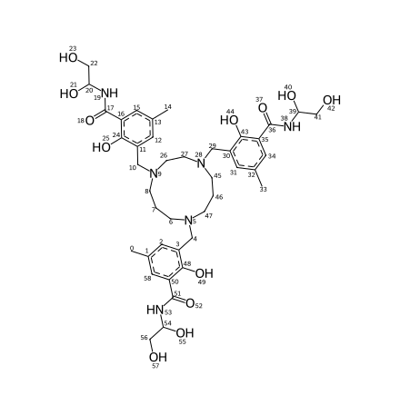 Cc1cc(CN2CCCN(Cc3cc(C)cc(C(=O)NC(O)CO)c3O)CCN(Cc3cc(C)cc(C(=O)NC(O)CO)c3O)CCC2)c(O)c(C(=O)NC(O)CO)c1